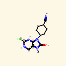 Cn1c(=O)n(C2CCC(C#N)CC2)c2nc(Cl)ncc21